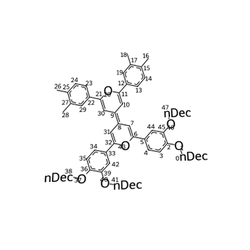 CCCCCCCCCCOc1ccc(C2=CC(=C3C=C(c4ccc(C)c(C)c4)OC(c4ccc(C)c(C)c4)=C3)C=C(c3ccc(OCCCCCCCCCC)c(OCCCCCCCCCC)c3)O2)cc1OCCCCCCCCCC